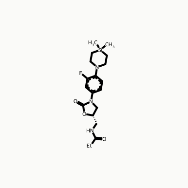 CCC(=O)NC[C@H]1CN(c2ccc(N3CC[Si](C)(C)CC3)c(F)c2)C(=O)O1